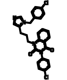 O=c1c2ccccc2n(CCCc2cncn2Cc2ccc(Cl)cc2)c(=O)n1-c1ccc(Cl)cc1